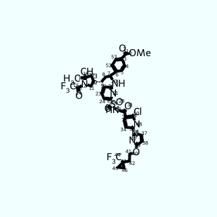 COC(=O)c1ccc(C(CC[C@@H]2CN(C(=O)C(F)(F)F)C(C)(C)C2)Nc2cccc(S(=O)(=O)NC(=O)c3ccc(-n4ccc(OCCC5(C(F)(F)F)CC5)n4)nc3Cl)n2)cc1